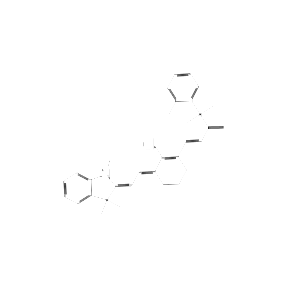 C=C(C=CC1=C(Cl)C(=CC=C2N(C)c3ccccc3C2(C)C)CCC1)C(C)(C)c1ccccc1C